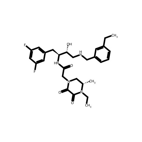 CCc1cccc(CNC[C@@H](O)[C@H](Cc2cc(F)cc(F)c2)NC(=O)CN2C[C@H](C)N(CC)C(=O)C2=O)c1